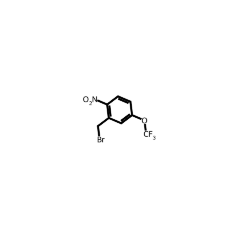 O=[N+]([O-])c1ccc(OC(F)(F)F)cc1CBr